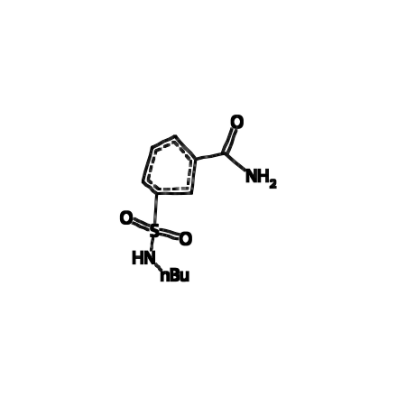 CCCCNS(=O)(=O)c1cccc(C(N)=O)c1